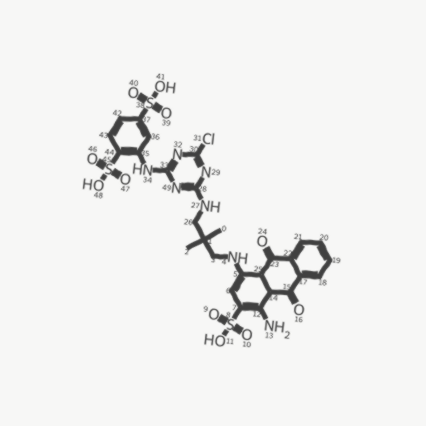 CC(C)(CNC1=CC(S(=O)(=O)O)=C(N)C2C(=O)c3ccccc3C(=O)C12)CNc1nc(Cl)nc(Nc2cc(S(=O)(=O)O)ccc2S(=O)(=O)O)n1